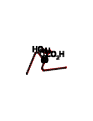 C=CCCCCCCCCCCCCCCCCCCCCC/C=C\C/C=C\CCCCCCCC(=O)OC(=O)CCCCCCC/C=C\C/C=C\CCCCCCCCCCCCCCCCCCCCCC=C.CC1(C)CC[C@]2(C(=O)O)CC[C@]3(C)C(=CCC4[C@@]5(C)CC[C@H](O)C(C)(C)[C@@H]5CC[C@]43C)[C@@H]2C1